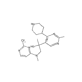 Cc1ncc(C(C)(O)CN(C)c2ccnc(C(F)(F)F)n2)c(C2CCNCC2)n1